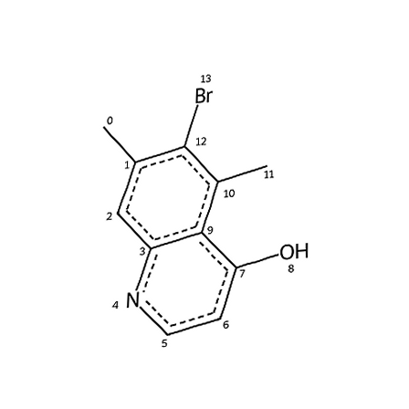 Cc1cc2nccc(O)c2c(C)c1Br